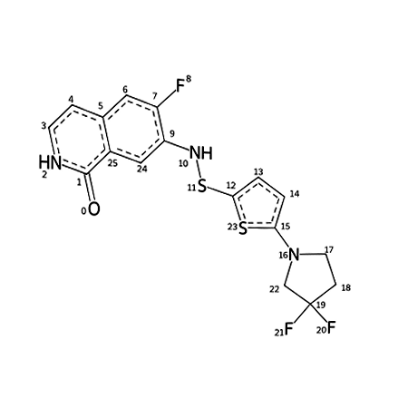 O=c1[nH]ccc2cc(F)c(NSc3ccc(N4CCC(F)(F)C4)s3)cc12